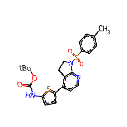 Cc1ccc(S(=O)(=O)N2CCc3c(-c4ccc(NC(=O)OC(C)(C)C)s4)ccnc32)cc1